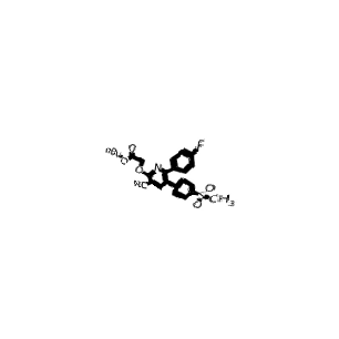 CCCCOC(=O)COc1nc(-c2ccc(F)cc2)c(-c2ccc(S(C)(=O)=O)cc2)cc1C#N